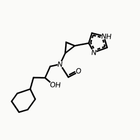 O=CN(CC(O)CC1CCCCC1)C1CC1c1c[nH]cn1